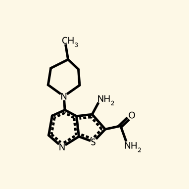 CC1CCN(c2ccnc3sc(C(N)=O)c(N)c23)CC1